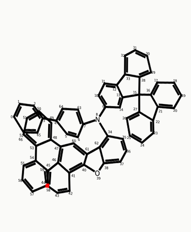 c1ccc(-c2ccc(N(c3ccc4c(c3)C3(c5ccccc5-c5ccccc53)c3ccccc3-4)c3cccc4oc5c6ccccc6c(-c6ccccc6-c6ccccc6)cc5c34)cc2)cc1